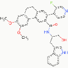 COc1cc2c(cc1OC)-c1cc(C(=O)NC(CO)Cc3c[nH]c4ccccc34)c(-c3ccncc3F)cc1CC2